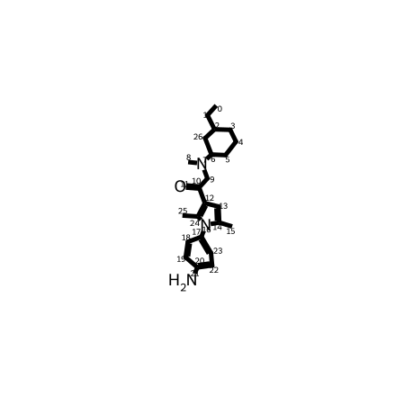 CCC1CCCC(N(C)CC(=O)c2cc(C)n(-c3ccc(N)cc3)c2C)C1